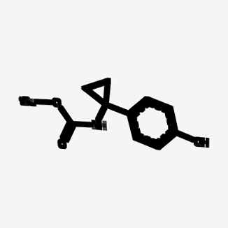 CC(C)(C)OC(=O)NC1(c2ccc(O)cc2)CC1